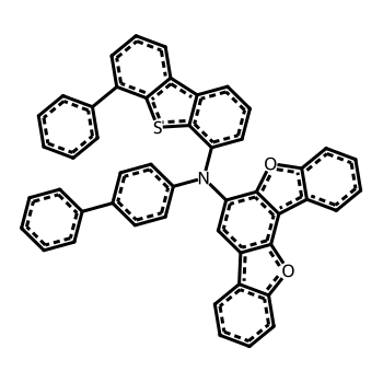 c1ccc(-c2ccc(N(c3cc4c5ccccc5oc4c4c3oc3ccccc34)c3cccc4c3sc3c(-c5ccccc5)cccc34)cc2)cc1